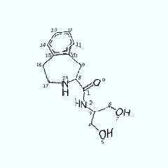 O=C(NC(CO)CO)C1Cc2ccccc2CCN1